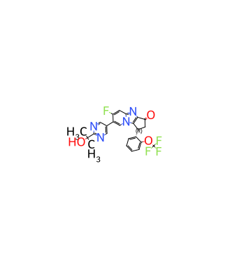 CC(C)(O)c1ncc(-c2cn3c4c(nc3cc2F)C(=O)C[C@@H]4c2ccccc2OC(F)(F)F)cn1